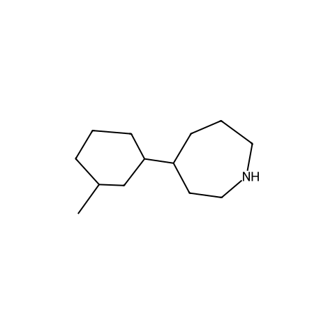 CC1CCCC(C2CCCNCC2)C1